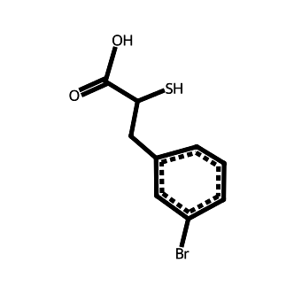 O=C(O)C(S)Cc1cccc(Br)c1